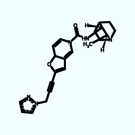 C[C@H]1[C@H](NC(=O)N2C=CC3OC(C#CCn4cccn4)=CC3=C2)C2CCN1CC2